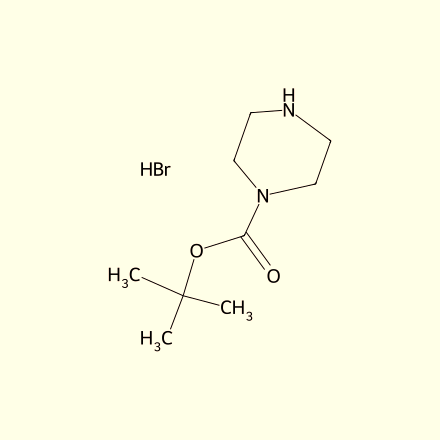 Br.CC(C)(C)OC(=O)N1CCNCC1